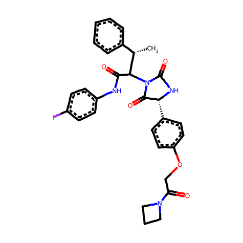 C[C@@H](c1ccccc1)C(C(=O)Nc1ccc(I)cc1)N1C(=O)N[C@H](c2ccc(OCC(=O)N3CCC3)cc2)C1=O